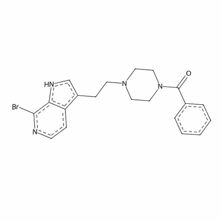 O=C(c1ccccc1)N1CCN(CCc2c[nH]c3c(Br)nccc23)CC1